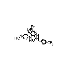 CCn1ncc2c(NC3CCC(=NO)CC3)c(C(=O)NCc3ccc(C(F)(F)F)cc3)cnc21